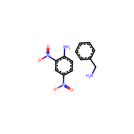 NCc1ccccc1.Nc1ccc([N+](=O)[O-])cc1[N+](=O)[O-]